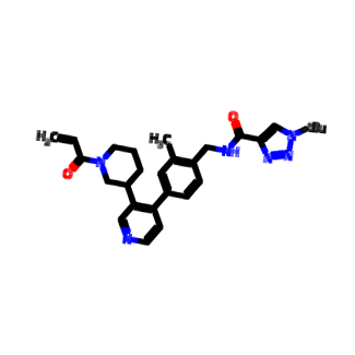 C=CC(=O)N1CCCC(c2cnccc2-c2ccc(CNC(=O)c3cn(C(C)(C)C)nn3)c(C)c2)C1